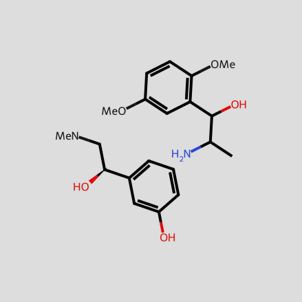 CNC[C@H](O)c1cccc(O)c1.COc1ccc(OC)c(C(O)C(C)N)c1